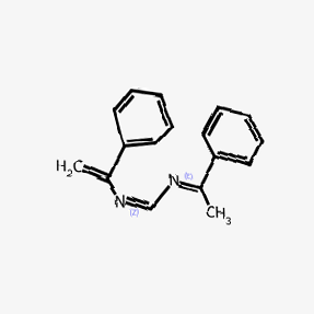 C=C(/N=C\N=C(/C)c1ccccc1)c1ccccc1